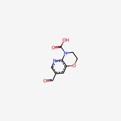 O=Cc1cnc2c(c1)OCCN2C(=O)O